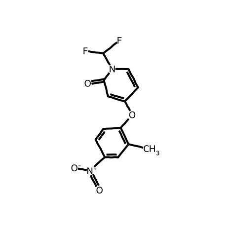 Cc1cc([N+](=O)[O-])ccc1Oc1ccn(C(F)F)c(=O)c1